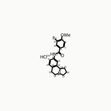 COc1ccc(C(=O)Nc2ccc3c(c2)C2CCCN2CC3)cc1F.Cl